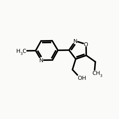 CCc1onc(-c2ccc(C)nc2)c1CO